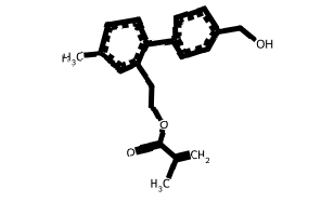 C=C(C)C(=O)OCCc1cc(C)ccc1-c1ccc(CO)cc1